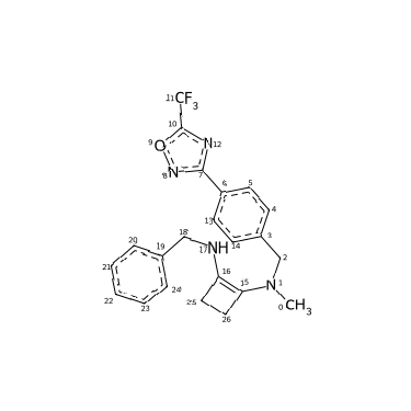 CN(Cc1ccc(-c2noc(C(F)(F)F)n2)cc1)C1=C(NCc2ccccc2)CC1